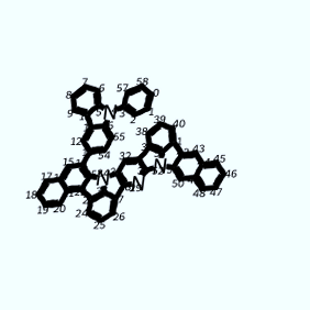 c1ccc(-n2c3ccccc3c3cc(-c4cc5ccccc5c5c6cccc7c8nc9c(cc8n(c45)c76)c4cccc5c6cc7ccccc7cc6n9c54)ccc32)cc1